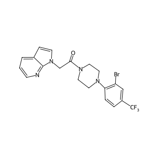 O=C(Cn1ccc2cccnc21)N1CCN(c2ccc(C(F)(F)F)cc2Br)CC1